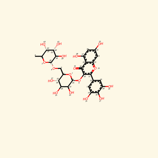 CC1O[C@@H](OCC2O[C@@H](Oc3c(-c4cc(O)c(O)c(O)c4)oc4cc(O)cc(O)c4c3=O)C(O)C(O)[C@@H]2O)C(O)[C@@H](O)[C@H]1O